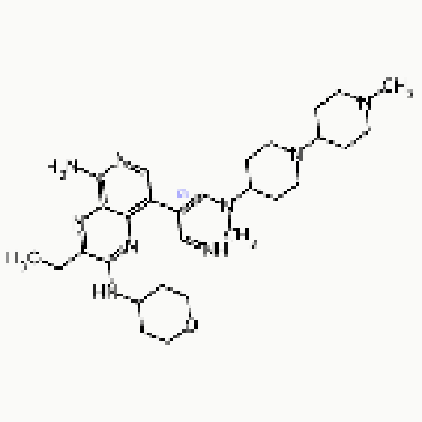 CCc1nc2c(N)ncc(/C(C=N)=C/N(C)C3CCN(C4CCN(C)CC4)CC3)c2nc1NC1CCOCC1